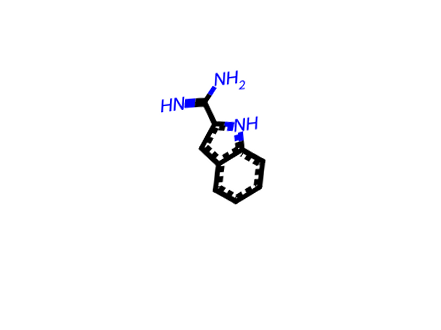 N=C(N)c1cc2ccccc2[nH]1